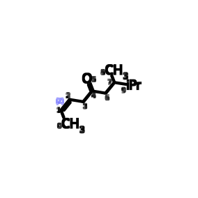 C/C=C\CC(=O)CC(C)C(C)C